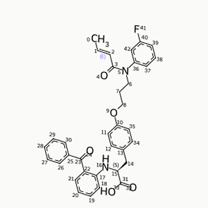 C/C=C/C(=O)N(CCCOc1ccc(C[C@H](Nc2ccccc2C(=O)c2ccccc2)C(=O)O)cc1)c1cccc(F)c1